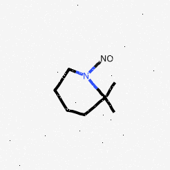 CC1(C)CCCCN1N=O